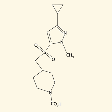 Cn1nc(C2CC2)cc1S(=O)(=O)CC1CCN(C(=O)O)CC1